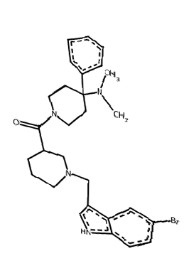 CN(C)C1(c2ccccc2)CCN(C(=O)C2CCCN(Cc3c[nH]c4ccc(Br)cc34)C2)CC1